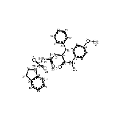 CCOc1ccc(N(CC)C(=O)C(Cc2ccccc2)NC(=O)NS(=O)(=O)N2CCc3cccnc32)cc1